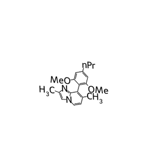 CCCc1cc(OC)c(-c2c(C)ccn3cc(C)nc23)c(OC)c1